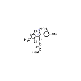 CCCC(C)OC(=O)OCO/C(=C(/C=N\C)c1ccc(C(C)(C)C)cc1)c1c(Cl)c(C)nn1C